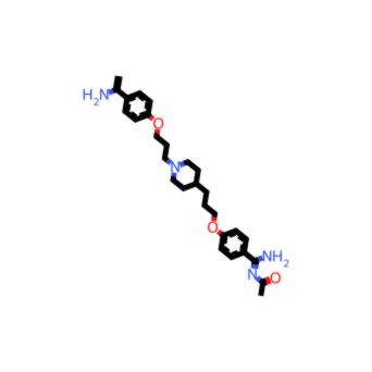 C=C(N)c1ccc(OCCCN2CCC(CCCOc3ccc(/C(N)=N/C(C)=O)cc3)CC2)cc1